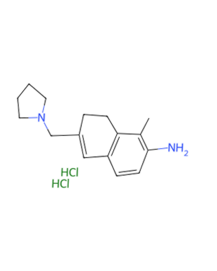 Cc1c(N)ccc2c1CCC(CN1CCCC1)=C2.Cl.Cl